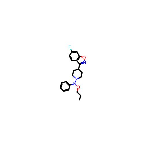 CCCON(c1ccccc1)N1CCC(c2noc3cc(F)ccc23)CC1